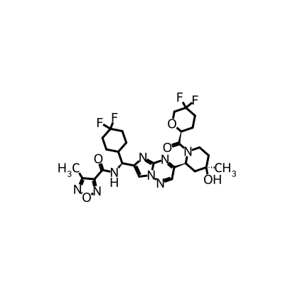 Cc1nonc1C(=O)N[C@H](c1cn2ncc([C@@H]3C[C@](C)(O)CCN3C(=O)[C@@H]3CCC(F)(F)CO3)nc2n1)C1CCC(F)(F)CC1